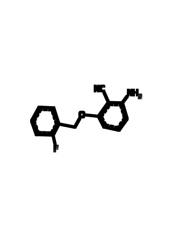 N#Cc1c(N)cccc1OCc1ccccc1F